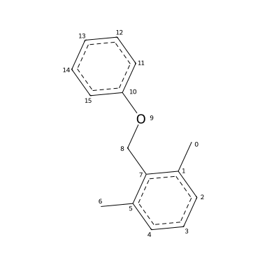 Cc1cccc(C)c1COc1ccccc1